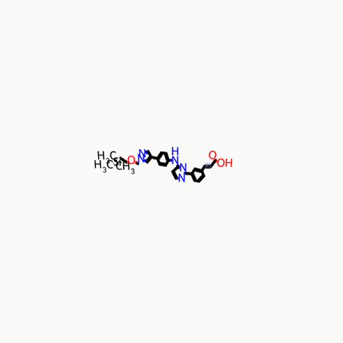 C[Si](C)(C)CCOCn1cc(-c2ccc(Nc3ccnc(-c4cccc(/C=C/C(=O)O)c4)n3)cc2)cn1